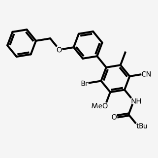 COc1c(Br)c(-c2cccc(OCc3ccccc3)c2)c(C)c(C#N)c1NC(=O)C(C)(C)C